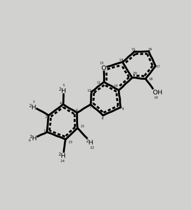 [2H]c1c([2H])c([2H])c(-c2ccc3c(c2)oc2cccc(O)c23)c([2H])c1[2H]